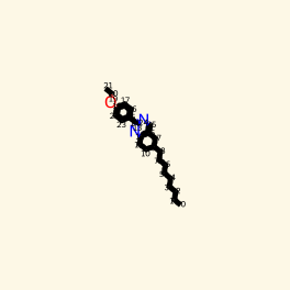 CCCCCCCCCC1CCc2nc(-c3ccc(OCC)cc3)ncc2C1